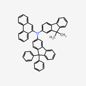 CC1(C)c2ccccc2-c2ccc(N(c3ccc4c(c3)-c3ccccc3C4(c3ccccc3)c3ccccc3)c3cc4ccccc4c4ccccc34)cc21